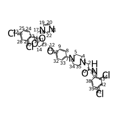 O=C(CN1CCN(c2ccc(OC[C@@H]3CO[C@@](Cn4ccnc4)(c4ccc(Cl)cc4Cl)O3)cc2)CC1)Nc1ccc(Cl)cc1Cl